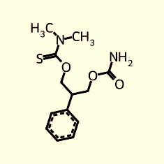 CN(C)C(=S)OCC(COC(N)=O)c1ccccc1